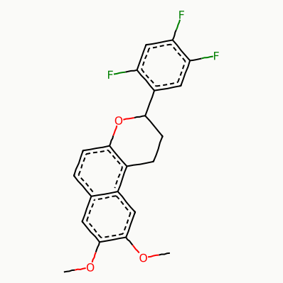 COc1cc2ccc3c(c2cc1OC)CCC(c1cc(F)c(F)cc1F)O3